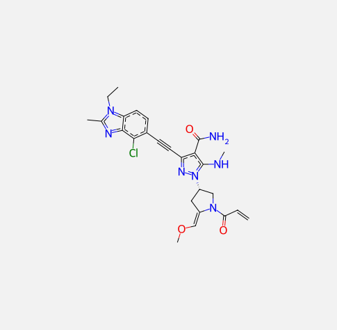 C=CC(=O)N1C[C@@H](n2nc(C#Cc3ccc4c(nc(C)n4CC)c3Cl)c(C(N)=O)c2NC)C/C1=C\OC